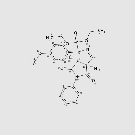 CCOP(=O)(OCC)[C@]1(c2ccc(OC)cc2)N=C[C@H]2C(=O)N(c3ccccc3)C(=O)[C@H]21